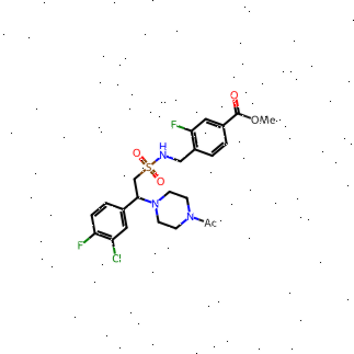 COC(=O)c1ccc(CNS(=O)(=O)CC(c2ccc(F)c(Cl)c2)N2CCN(C(C)=O)CC2)c(F)c1